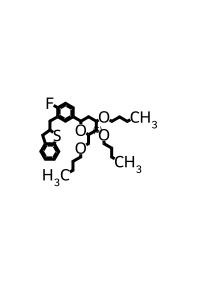 CCCCOCC1OC(c2ccc(F)c(CC3Cc4ccccc4S3)c2)CC(OCCCC)[C@@H]1OCCCC